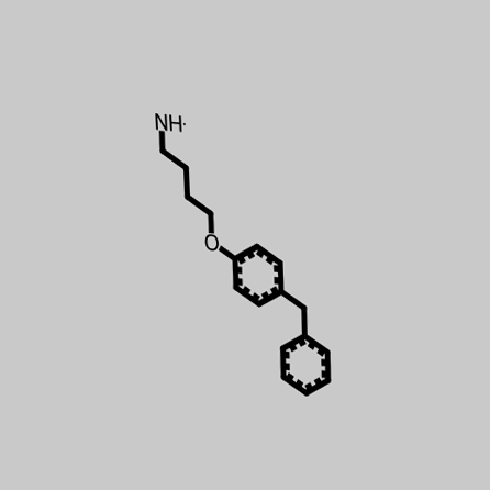 [NH]CCCCOc1ccc(Cc2ccccc2)cc1